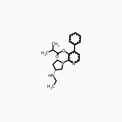 CCN[C@@H]1CCN(c2nccc(-c3ccccc3)c2OC(=O)C(C)C)C1